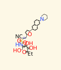 CC[C@H]1OC(O)[C@H](NS(=O)(=O)/C(C#N)=C/c2ccc(-c3ccc4cc(N5CCCCC5)ccc4c3)o2)[C@@H](O)[C@@H]1O